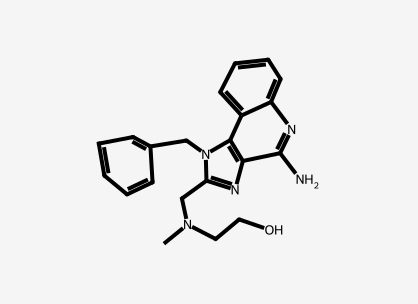 CN(CCO)Cc1nc2c(N)nc3ccccc3c2n1Cc1ccccc1